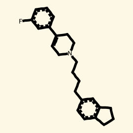 Fc1cccc(C2=CCN(CCCCc3ccc4c(c3)CCC4)CC2)c1